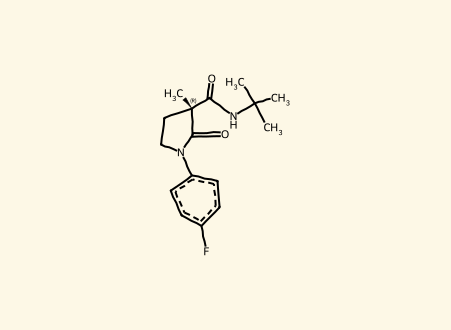 CC(C)(C)NC(=O)[C@@]1(C)CCN(c2ccc(F)cc2)C1=O